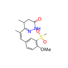 COc1ccc(C=C(C)C2=NNC(=O)CC2C)cc1S(C)(=O)=O